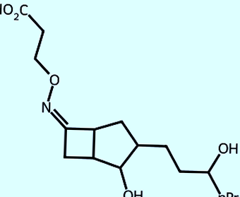 CCCC(O)CCC1CC2C(=NOCCC(=O)O)CC2C1O